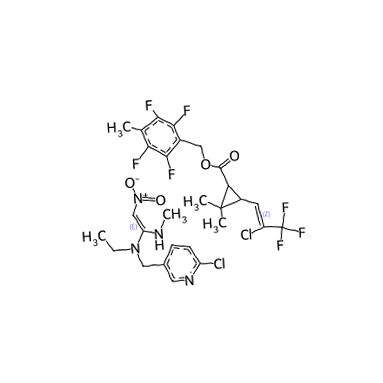 CCN(Cc1ccc(Cl)nc1)/C(=C/[N+](=O)[O-])NC.Cc1c(F)c(F)c(COC(=O)C2C(/C=C(\Cl)C(F)(F)F)C2(C)C)c(F)c1F